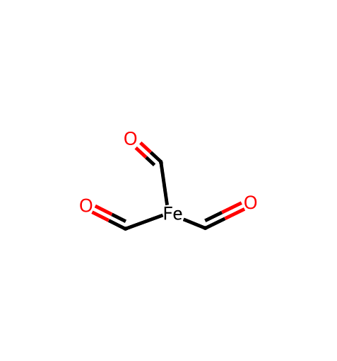 O=[CH][Fe]([CH]=O)[CH]=O